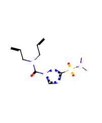 C=CCN(CC=C)C(=O)n1cnc(S(=O)(=O)N(CC)CC)n1